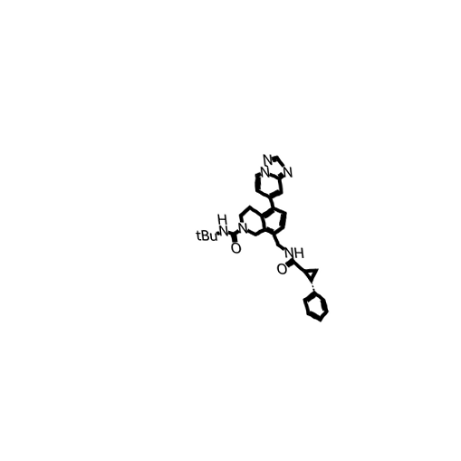 CC(C)(C)NC(=O)N1CCc2c(-c3ccn4ncnc4c3)ccc(CNC(=O)C3C[C@@H]3c3ccccc3)c2C1